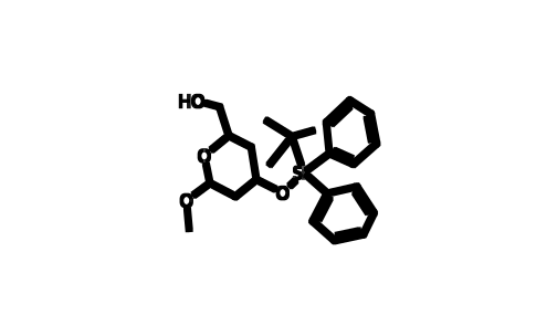 COC1CC(O[Si](c2ccccc2)(c2ccccc2)C(C)(C)C)CC(CO)O1